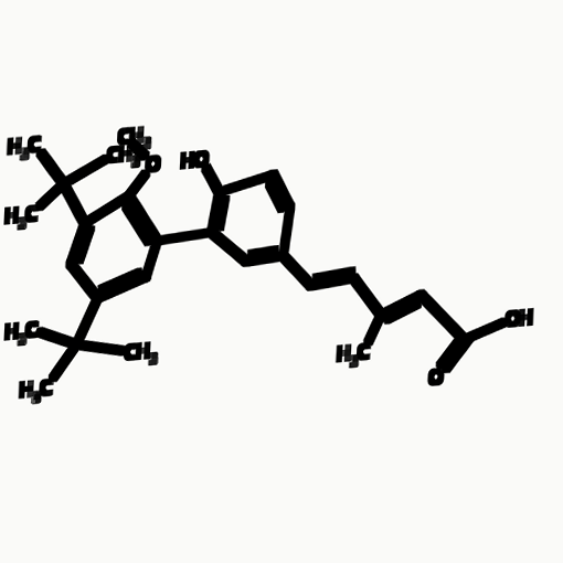 COc1c(-c2cc(/C=C/C(C)=C/C(=O)O)ccc2O)cc(C(C)(C)C)cc1C(C)(C)C